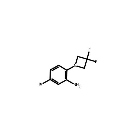 Nc1cc(Br)ccc1N1CC(F)(F)C1